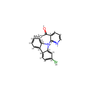 COC(=O)c1cccnc1-n1c2ccccc2c2ccc(Br)cc21